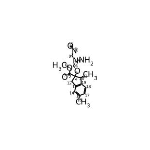 COC(=O)C1(OCN(N)CN=O)Cc2cc(C)ccc2C1C